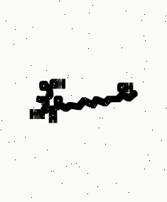 CCC(O)CCCCCCCCCC(=O)NC(=N)N(C)CC(=O)O